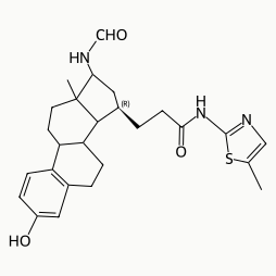 Cc1cnc(NC(=O)CC[C@@H]2CC(NC=O)C3(C)CCC4c5ccc(O)cc5CCC4C23)s1